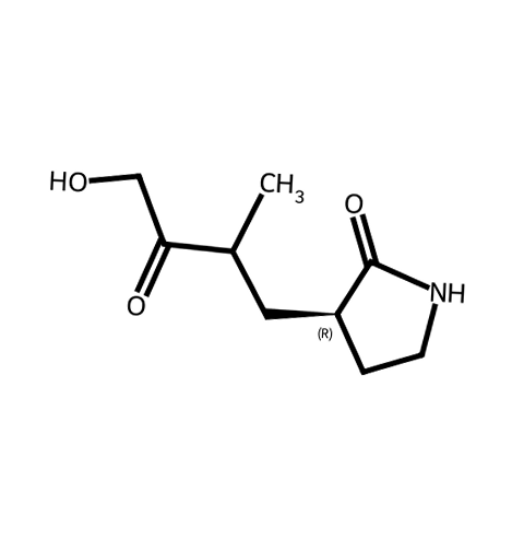 CC(C[C@@H]1CCNC1=O)C(=O)CO